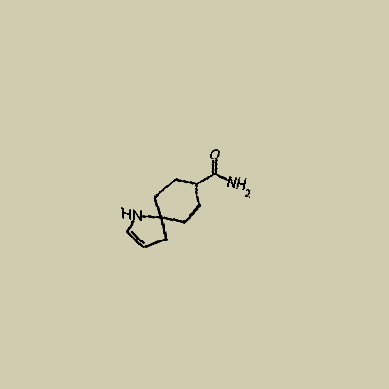 NC(=O)C1CCC2(CC=CN2)CC1